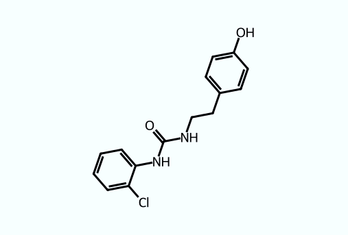 O=C(NCCc1ccc(O)cc1)Nc1ccccc1Cl